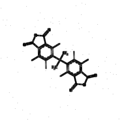 Cc1c(C)c(C(c2c(C)c(C)c3c(c2C)C(=O)OC3=O)(C(F)(F)F)C(F)(F)F)c(C)c2c1C(=O)OC2=O